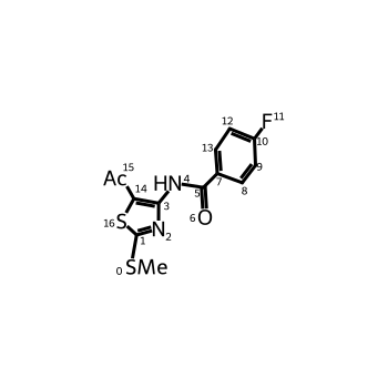 CSc1nc(NC(=O)c2ccc(F)cc2)c(C(C)=O)s1